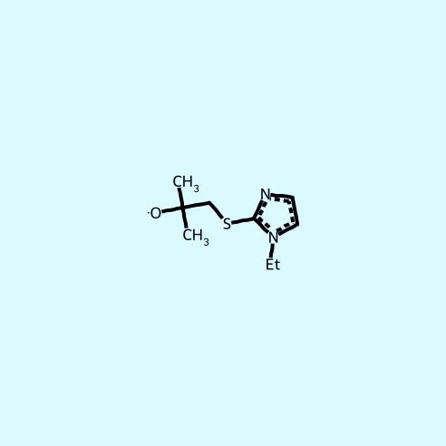 CCn1ccnc1SCC(C)(C)[O]